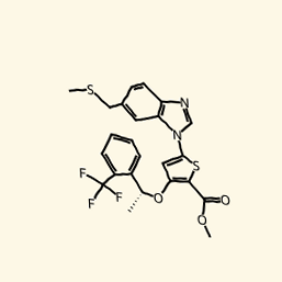 COC(=O)c1sc(-n2cnc3ccc(CSC)cc32)cc1O[C@H](C)c1ccccc1C(F)(F)F